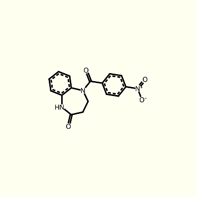 O=C1CCN(C(=O)c2ccc([N+](=O)[O-])cc2)c2ccccc2N1